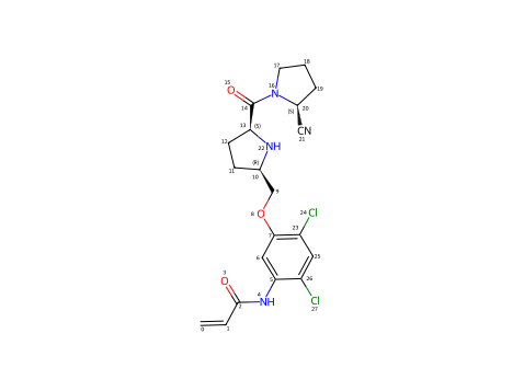 C=CC(=O)Nc1cc(OC[C@H]2CC[C@@H](C(=O)N3CCC[C@H]3C#N)N2)c(Cl)cc1Cl